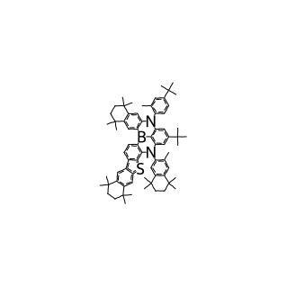 Cc1cc(C(C)(C)C)ccc1N1c2cc3c(cc2B2c4ccc5c(sc6cc7c(cc65)C(C)(C)CCC7(C)C)c4N(c4cc5c(cc4C)C(C)(C)CCC5(C)C)c4cc(C(C)(C)C)cc1c42)C(C)(C)CCC3(C)C